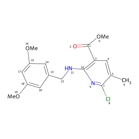 COC(=O)c1cc(C)c(Cl)nc1NCc1cc(OC)cc(OC)c1